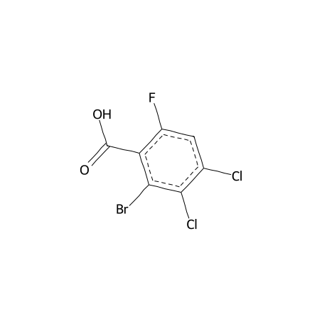 O=C(O)c1c(F)cc(Cl)c(Cl)c1Br